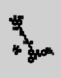 C[N+]1(C)CCC(OC(=O)Nc2cc(CCC(=O)NCCCCCNC[C@H](O)c3ccc(O)c4[nH]c(=O)ccc34)ccc2-c2ccccc2)CC1.O=C([O-])C(F)(F)F